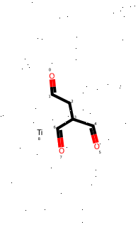 O=CCC(C=O)C=O.[Ti]